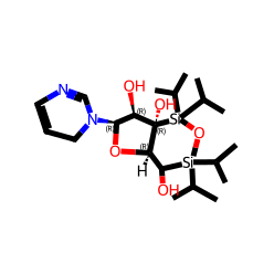 CC(C)[Si]1(C(C)C)O[Si](C(C)C)(C(C)C)[C@@]2(O)[C@H](O[C@@H](N3C=NC=CC3)[C@H]2O)C1O